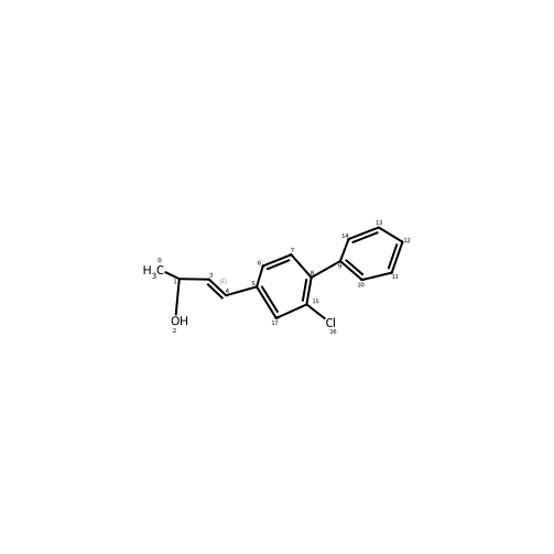 CC(O)/C=C/c1ccc(-c2ccccc2)c(Cl)c1